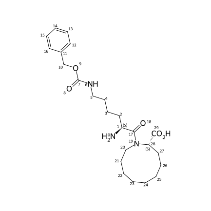 N[C@@H](CCCCNC(=O)OCc1ccccc1)C(=O)N1CCCCCCCC[C@H]1C(=O)O